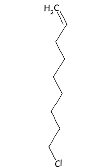 C=CCCCCCCCCl